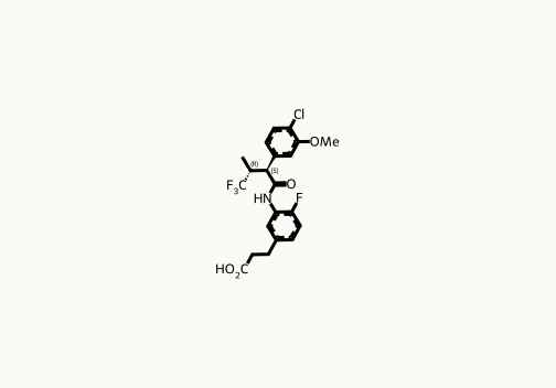 COc1cc([C@@H](C(=O)Nc2cc(CCC(=O)O)ccc2F)[C@@H](C)C(F)(F)F)ccc1Cl